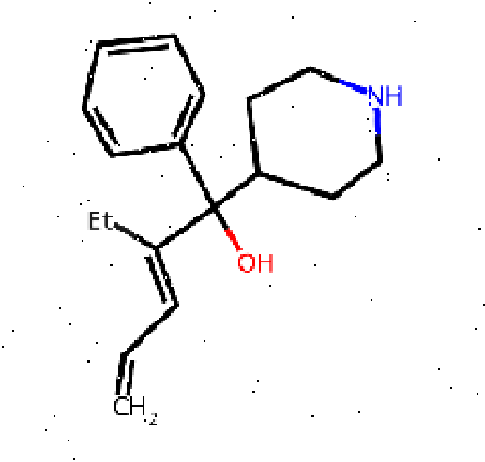 C=C/C=C(\CC)C(O)(c1ccccc1)C1CCNCC1